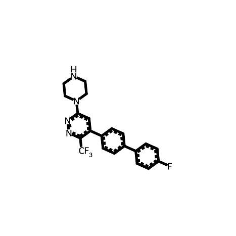 Fc1ccc(-c2ccc(-c3cc(N4CCNCC4)nnc3C(F)(F)F)cc2)cc1